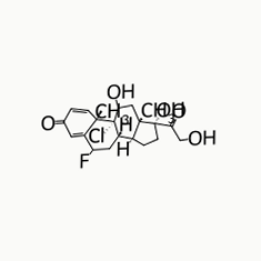 C[C@]12C=CC(=O)C=C1C(F)C[C@H]1[C@@H]3CC[C@](O)(C(=O)CO)[C@@]3(C)CC(O)[C@@]12Cl